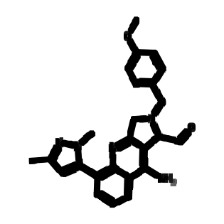 COc1ccc(CN2Cc3nc4c(-c5cc(C)nn5C)cccc4c(N)c3C2C=O)cc1